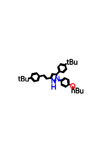 CCCCOc1ccc(N2NC(C=Cc3ccc(C(C)(C)C)cc3)=CC2c2ccc(C(C)(C)C)cc2)cc1